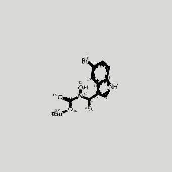 CCC(c1c[nH]c2ccc(Br)cc12)N(O)C(=O)OC(C)(C)C